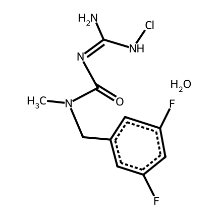 CN(Cc1cc(F)cc(F)c1)C(=O)N=C(N)NCl.O